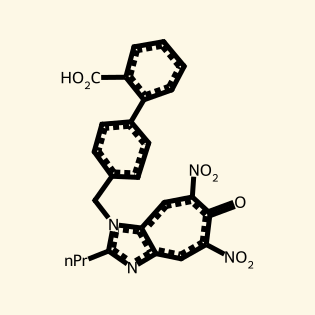 CCCc1nc2cc([N+](=O)[O-])c(=O)c([N+](=O)[O-])cc2n1Cc1ccc(-c2ccccc2C(=O)O)cc1